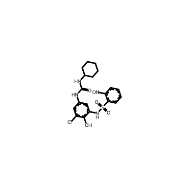 O=Nc1ccccc1S(=O)(=O)Nc1cc(NC(=O)NC2CCCCC2)cc(Cl)c1O